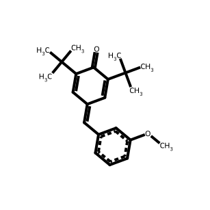 COc1cccc(C=C2C=C(C(C)(C)C)C(=O)C(C(C)(C)C)=C2)c1